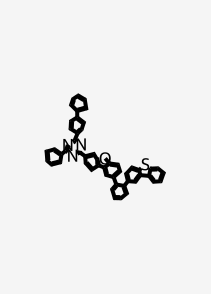 c1ccc(-c2ccc(-c3nc(-c4ccccc4)nc(-c4ccc5c(c4)oc4ccc(-c6ccccc6-c6ccc7sc8ccccc8c7c6)cc45)n3)cc2)cc1